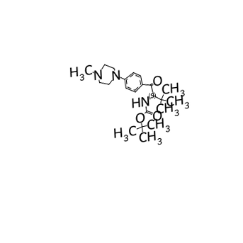 CN1CCN(c2ccc(C(=O)[C@@H](NC(=O)OC(C)(C)C)C(C)(C)C)cc2)CC1